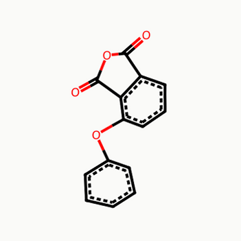 O=C1OC(=O)c2c(Oc3ccccc3)cccc21